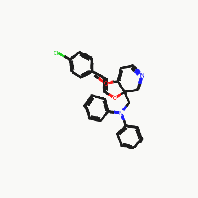 COC1=CC=NCC1(CN(c1ccccc1)c1ccccc1)OC=Cc1ccc(Cl)cc1